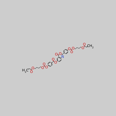 C=CC(=O)OCCCCOC(=O)Oc1ccc(C(=O)Oc2ccc3nc(-c4ccc(OC(=O)OCCCCOC(=O)C=C)cc4)oc(=O)c3c2)cc1